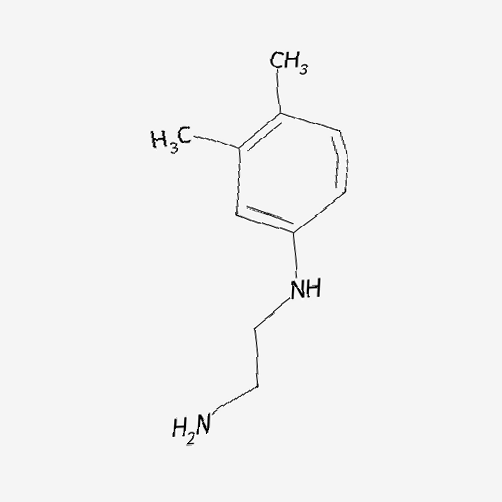 Cc1ccc(NCCN)cc1C